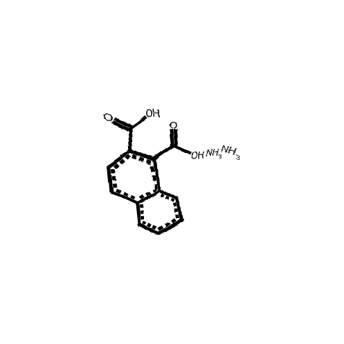 N.N.O=C(O)c1ccc2ccccc2c1C(=O)O